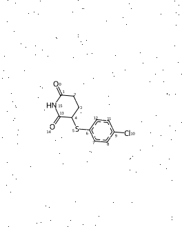 O=C1CCC(Sc2ccc(Cl)cc2)C(=O)N1